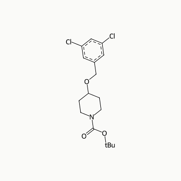 CC(C)(C)OC(=O)N1CCC(OCc2cc(Cl)cc(Cl)c2)CC1